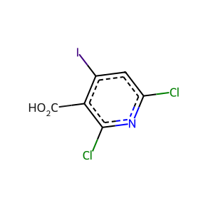 O=C(O)c1c(I)cc(Cl)nc1Cl